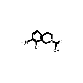 Nc1ccc2c(c1Br)CN(C(=O)O)CC2